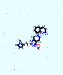 COc1nc(OC[C@@H]2CCCN2C)nc2c1CCN(c1cccc3cccnc13)C2